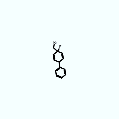 FC1(CBr)C=CC(c2ccccc2)C=C1